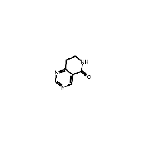 O=C1NCCc2ncncc21